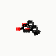 CC(O)C(=O)[O-].CC(O)C(=O)[O-].CC(O)C(=O)[O-].[Yb+3]